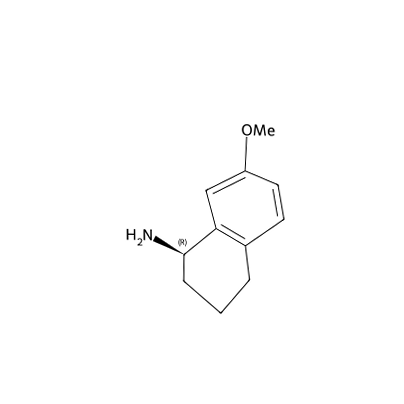 COc1ccc2c(c1)[C@H](N)CCC2